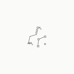 C=C[CH2][AlH2].ClOCl.[V]